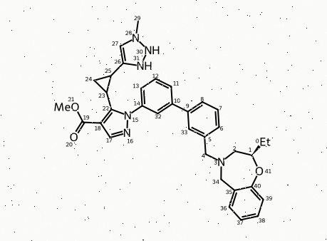 CC[C@@H]1CN(Cc2cccc(-c3cccc(-n4ncc(C(=O)OC)c4C4CC4C4=CN(C)NN4)c3)c2)Cc2ccccc2O1